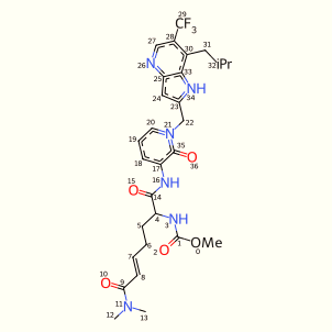 COC(=O)NC(CCC=CC(=O)N(C)C)C(=O)Nc1cccn(Cc2cc3ncc(C(F)(F)F)c(CC(C)C)c3[nH]2)c1=O